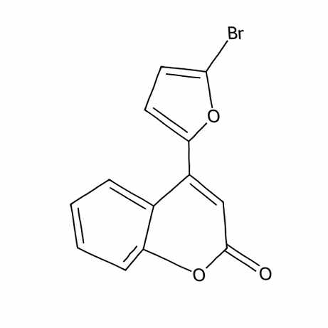 O=c1cc(-c2ccc(Br)o2)c2ccccc2o1